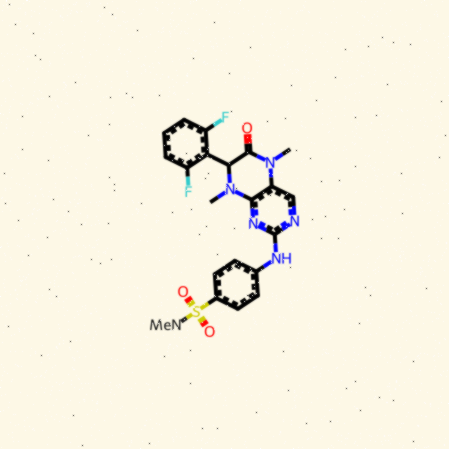 CNS(=O)(=O)c1ccc(Nc2ncc3c(n2)N(C)C(c2c(F)cccc2F)C(=O)N3C)cc1